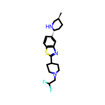 C[C@H]1CC[C@H](c2ccc3sc(C4CCN(CC(F)F)CC4)nc3c2)NC1